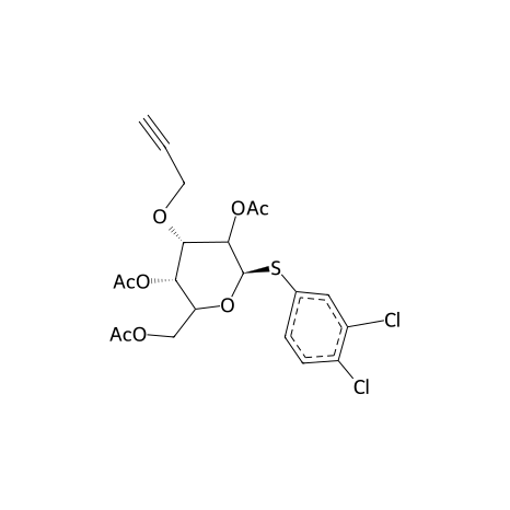 C#CCO[C@@H]1C(OC(C)=O)[C@@H](Sc2ccc(Cl)c(Cl)c2)OC(COC(C)=O)[C@@H]1OC(C)=O